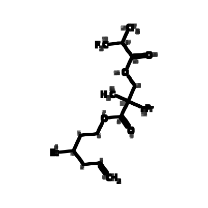 C=CCC(CC)CCOC(=O)C(C)(CCC)COC(=O)C(C(F)(F)F)C(F)(F)F